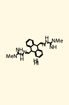 CNC(=N)NN=CC1c2ccccc2C(C=NNC(=N)NC)c2ccccc21.I.I